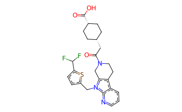 O=C(C[C@H]1CC[C@@H](C(=O)O)CC1)N1CCc2c(n(Cc3ccc(C(F)F)s3)c3ncccc23)C1